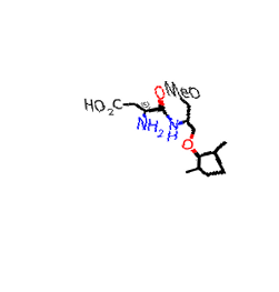 COCC(COC1C(C)CCC1C)NC(=O)[C@@H](N)CC(=O)O